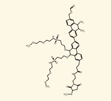 COCCOCCNS(=O)(=O)CCCOC1c2cc(CCC(=O)NCCN3C(=O)CC(SC)C3=O)ccc2-c2ccc(-c3ccc4c(c3)C(C)C(C)c3cc(COC=O)ccc3-4)cc2C1OCCCS(=O)(=O)NCCOCCOC